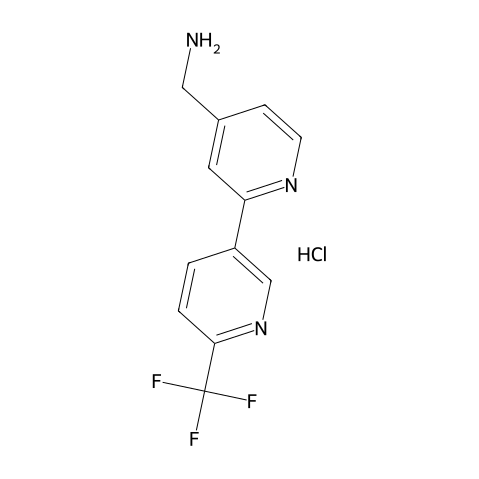 Cl.NCc1ccnc(-c2ccc(C(F)(F)F)nc2)c1